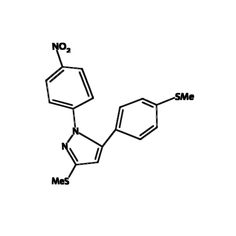 CSc1ccc(-c2cc(SC)nn2-c2ccc([N+](=O)[O-])cc2)cc1